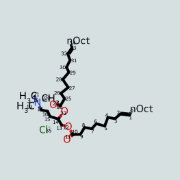 CCCCCCCCC=CCCCCCCCC(=O)OCC(CCC[N+](C)(C)C)OC(=O)CCCCCCCC=CCCCCCCCC.[Cl-]